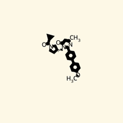 COc1ccc(-c2ccc(-c3nc(C)cc(=O)n3C[C@@H]3CCN(C(=O)C4CC4)C3)cc2)cc1